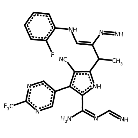 CC(/C(=C/Nc1ccccc1F)N=N)c1[nH]c(/C(N)=N\C=N)c(-c2cnc(C(F)(F)F)nc2)c1C#N